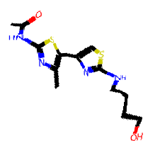 CC(=O)Nc1nc(C)c(-c2csc(NCCCCO)n2)s1